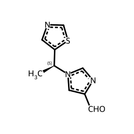 C[C@@H](c1cncs1)n1cnc(C=O)c1